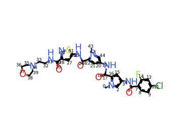 Cn1cc(NC(=O)c2ccc(Cl)cc2F)cc1C(=O)Nc1cc(C(=O)Nc2cc(C(=O)NCCN3CCOCC3)ns2)n(C)c1